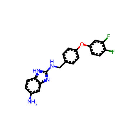 Nc1ccc2[nH]c(NCc3ccc(Oc4ccc(F)c(F)c4)cc3)nc2c1